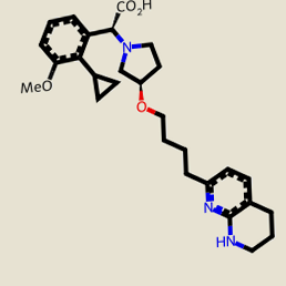 COc1cccc([C@@H](C(=O)O)N2CC[C@@H](OCCCCc3ccc4c(n3)NCCC4)C2)c1C1CC1